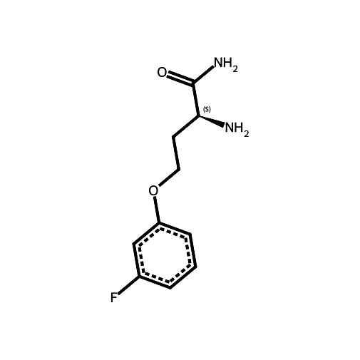 NC(=O)[C@@H](N)CCOc1cccc(F)c1